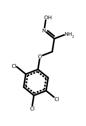 NC(COc1cc(Cl)c(Cl)cc1Cl)=NO